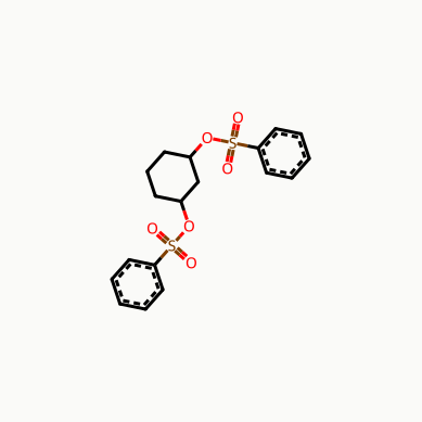 O=S(=O)(OC1CCCC(OS(=O)(=O)c2ccccc2)C1)c1ccccc1